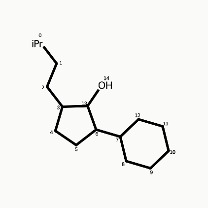 CC(C)CCC1CCC(C2CCCCC2)C1O